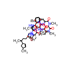 C=C(CCCC(=O)N[C@@H](CC(C)C)C(=O)N1CCC[C@H]1C(=O)N(C)[C@H](C(=O)N[C@@H](Cc1ccccc1)C(=O)N(C)CC(=O)N(C)[C@@H](CC(C)C)C(=O)N[C@@H](C)C(=O)N(C)[C@H](C(=O)N[C@@H](C)C(=O)N1CCCCC1)[C@@H](C)CC)C(C)C)C1C=CC(C)C1